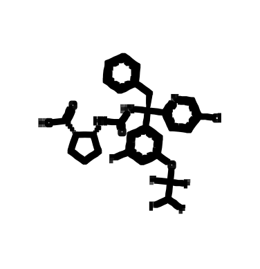 O=C(N[C@@H]1CCC[C@@H]1C(=O)O)N[C@@](Cc1ccccc1)(c1cc(F)cc(OC(F)(F)C(F)F)c1)c1ccc(Cl)cn1